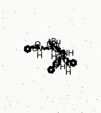 CC(C)(C)OC(=O)[C@@H](CCCCNC(=O)OCc1ccccc1)NC(=O)C(C)(C)c1c[nH]c([C@@H](Cc2c[nH]c3ccccc23)NC(=O)N2CCN(c3ccccc3)CC2)n1